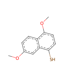 COc1ccc2c(OC)ccc(S)c2c1